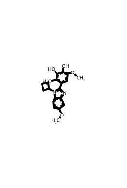 COc1ccc2c(c1)nc(-c1cc(OC)c(O)c(O)c1C)n2C1CCC1